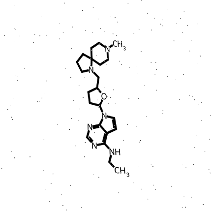 CCNc1ncnc2c1ccn2C1CCC(CN2CCCC23CCN(C)CC3)O1